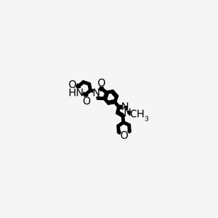 Cn1nc(-c2ccc3c(c2)CN(C2CCC(=O)NC2=O)C3=O)cc1C1CCOCC1